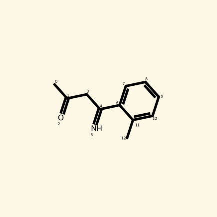 CC(=O)CC(=N)c1ccccc1C